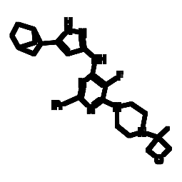 CC(C)c1nc(Nc2cc(C3CC4CCC3C4)[nH]n2)c(F)c(N2CCN(C3(C)COC3)CC2)n1